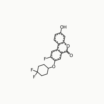 O=c1oc2cc(O)ccc2c2cc(F)c(OC3CCC(F)(F)CC3)cc12